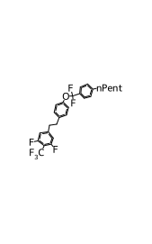 CCCCCc1ccc(C(F)(F)Oc2ccc(CCc3cc(F)c(C(F)(F)F)c(F)c3)cc2)cc1